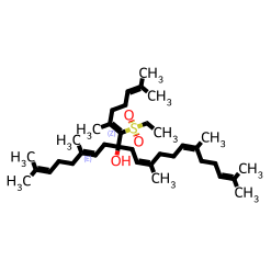 CCS(=O)(=O)/C(=C(/C)CCC=C(C)C)C(O)(CC=C(C)CCC=C(C)CCC=C(C)C)C/C=C(\C)CCC=C(C)C